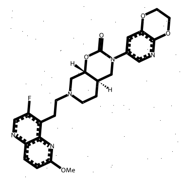 COc1ccc2ncc(F)c(CCN3CC[C@@H]4CN(c5cnc6c(c5)OCCO6)C(=O)O[C@H]4C3)c2n1